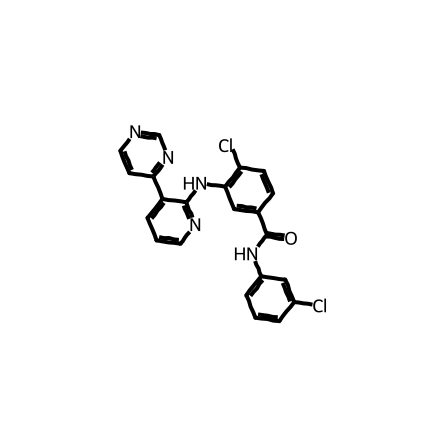 O=C(Nc1cccc(Cl)c1)c1ccc(Cl)c(Nc2ncccc2-c2ccncn2)c1